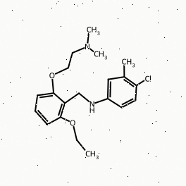 CCOc1cccc(OCCN(C)C)c1CNc1ccc(Cl)c(C)c1